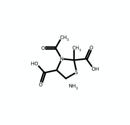 CC(=O)N1C(C(=O)O)CSC1(C)C(=O)O.N